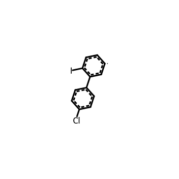 Clc1ccc(-c2c[c]ccc2I)cc1